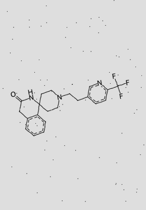 O=C1Cc2ccccc2C2(CCN(CCc3ccc(C(F)(F)F)nc3)CC2)N1